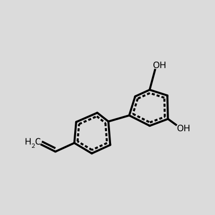 C=Cc1ccc(-c2cc(O)cc(O)c2)cc1